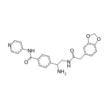 NC(CNC(=O)Cc1ccc2c(c1)OCO2)c1ccc(C(=O)Nc2ccncc2)cc1